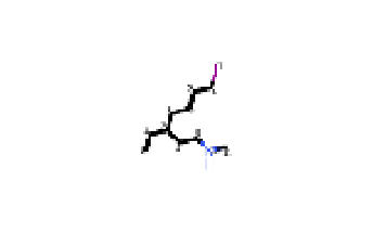 CCC(CCCCI)CCNC